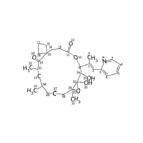 CC(=Cc1ccccn1)C1OC(=O)CCC2(CCC2)C(=O)C(C)CC(C)CCCC2(C)OC2(O)C1O